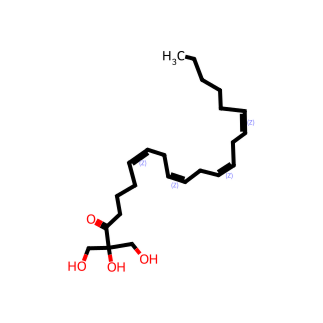 CCCCC/C=C\C/C=C\C/C=C\C/C=C\CCCC(=O)C(O)(CO)CO